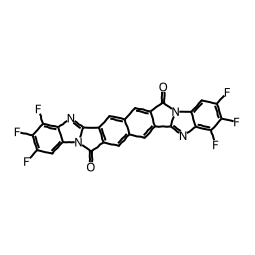 O=c1c2cc3cc4c(cc3cc2c2nc3c(F)c(F)c(F)cc3n12)c(=O)n1c2cc(F)c(F)c(F)c2nc41